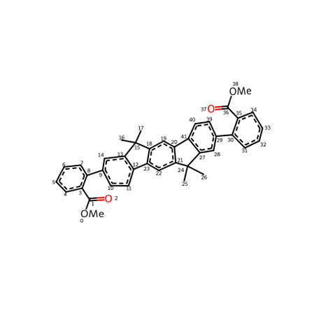 COC(=O)c1ccccc1-c1ccc2c(c1)C(C)(C)c1cc3c(cc1-2)C(C)(C)c1cc(-c2ccccc2C(=O)OC)ccc1-3